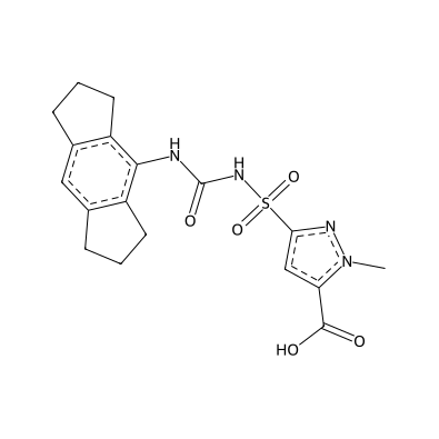 Cn1nc(S(=O)(=O)NC(=O)Nc2c3c(cc4c2CCC4)CCC3)cc1C(=O)O